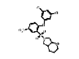 O=[N+]([O-])c1ccc(Oc2cc(Cl)cc(Cl)c2)c(S(=O)(=O)N2CC3CCCNC3C2)c1